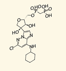 O=P(O)(O)CP(=O)(O)OC[C@H]1OC[C@@](O)(c2cnc3c(NC4CCCCC4)cc(Cl)nn23)[C@@H]1O